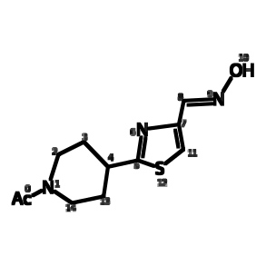 CC(=O)N1CCC(c2nc(/C=N/O)cs2)CC1